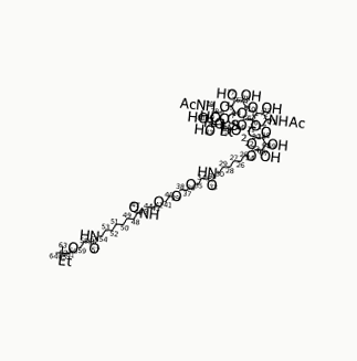 CCC1OC(OC2C(C(=O)O)OC(OC3C(COS(=O)(=O)O)OC(OC4C(C(=O)O)OC(OCCCCCCNC(=O)CCOCCOCCOCCNC(=O)CCCCCCCNC(=O)CCOCC(C)(C)CC)C(O)C4O)C(NC(C)=O)C3O)C(O)C2O)C(NC(C)=O)C(O)C1O